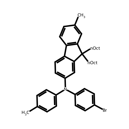 CCCCCCCCC1(CCCCCCCC)c2cc(C)ccc2-c2ccc(N(c3ccc(C)cc3)c3ccc(Br)cc3)cc21